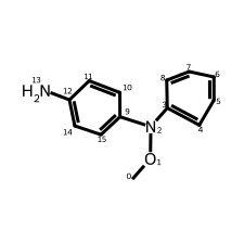 CON(c1ccccc1)c1ccc(N)cc1